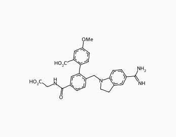 COc1ccc(-c2cc(C(=O)NCC(=O)O)ccc2CN2CCc3cc(C(=N)N)ccc32)c(C(=O)O)c1